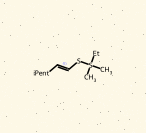 CCCC(C)/C=C/SS(C)(C)CC